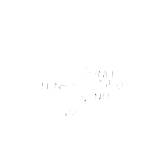 C=CCc1[nH]c(=O)[nH]c(=O)c1N